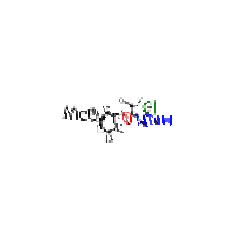 C=C(C)/C(=N\C(=N)Cl)OCc1cccc(OC)c1